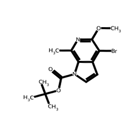 COc1nc(C)c2c(ccn2C(=O)OC(C)(C)C)c1Br